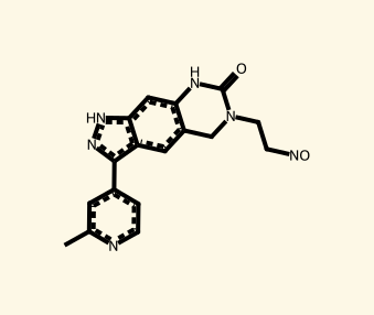 Cc1cc(-c2n[nH]c3cc4c(cc23)CN(CCN=O)C(=O)N4)ccn1